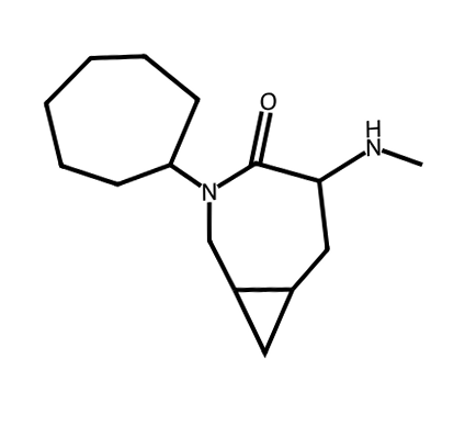 CNC1CC2CC2CN(C2CCCCCC2)C1=O